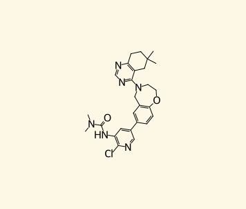 CN(C)C(=O)Nc1cc(-c2ccc3c(c2)CN(c2ncnc4c2CC(C)(C)CC4)CCO3)cnc1Cl